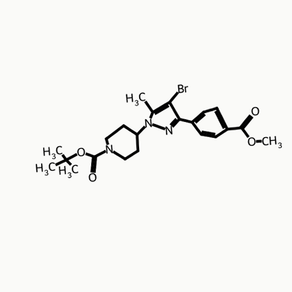 COC(=O)c1ccc(-c2nn(C3CCN(C(=O)OC(C)(C)C)CC3)c(C)c2Br)cc1